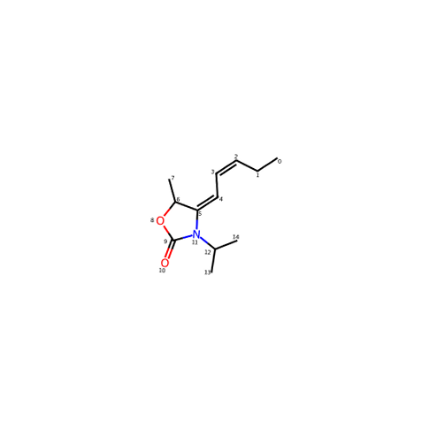 CC/C=C\C=C1/C(C)OC(=O)N1C(C)C